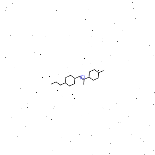 CCCC1CCC(/C=C(\C)C2CCC(C)CC2)CC1